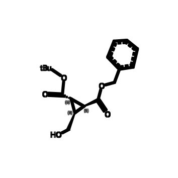 CC(C)(C)OC(=O)[C@H]1[C@H](CO)[C@@H]1C(=O)OCc1ccccc1